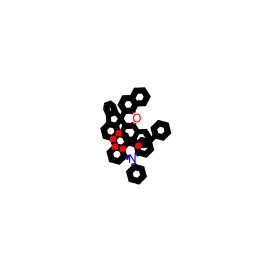 C1=CC2C=CC3=C(Oc4c(ccc5ccccc45)C34c3ccccc3-c3ccc(-c5cccc(N(c6ccccc6)c6ccc(-c7ccccc7)cc6-c6ccccc6)c5)cc34)C2C=C1